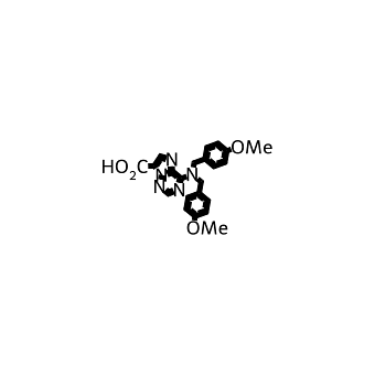 COc1ccc(CN(Cc2ccc(OC)cc2)c2ncnn3c(C(=O)O)cnc23)cc1